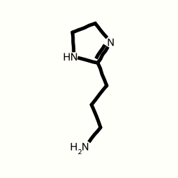 NCCCC1=NCCN1